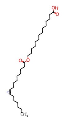 CCCCCC/C=C\CCCCCCCC(=O)OCCCCCCCCCCCCCC(=O)O